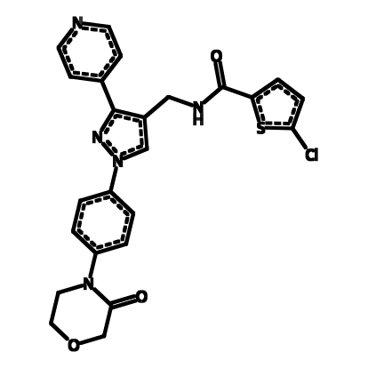 O=C(NCc1cn(-c2ccc(N3CCOCC3=O)cc2)nc1-c1ccncc1)c1ccc(Cl)s1